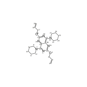 C=CCOc1nc(N2CCCCC2)c2nc(OCC=C)nc(N3CCCCC3)c2n1